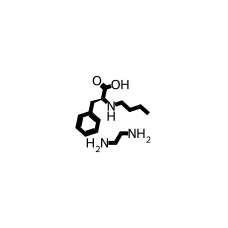 CCCCN[C@@H](Cc1ccccc1)C(=O)O.NCCN